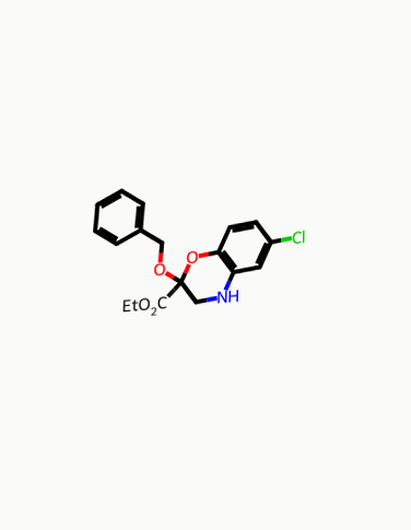 CCOC(=O)C1(OCc2ccccc2)CNc2cc(Cl)ccc2O1